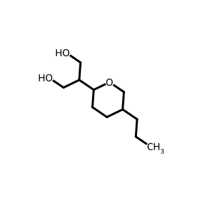 CCCC1CCC(C(CO)CO)OC1